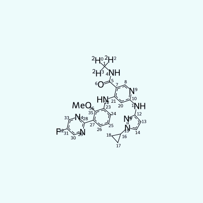 [2H]C([2H])([2H])NC(=O)c1cnc(Nc2ccn(C3CC3)n2)cc1Nc1cccc(-c2ncc(F)cn2)c1OC